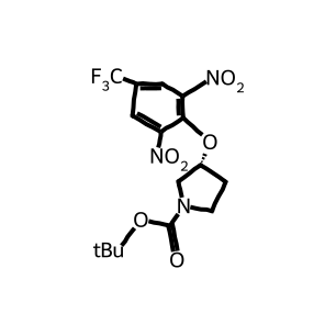 CC(C)(C)OC(=O)N1CC[C@@H](Oc2c([N+](=O)[O-])cc(C(F)(F)F)cc2[N+](=O)[O-])C1